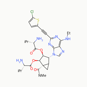 CCNc1nc(C#Cc2ccc(Cl)s2)nc2c1ncn2[C@@H]1C2C[C@@]2(C(=O)NC)[C@@H](OC(=O)[C@@H](N)C(C)C)[C@H]1OC(=O)[C@@H](N)C(C)C